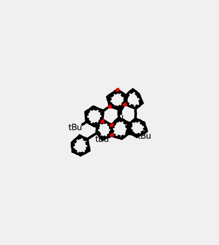 CC(C)(C)c1ccc(-c2ccccc2N(c2ccc(-c3ccccc3)cc2)c2ccccc2-c2cccc3cccc(-c4cc(C(C)(C)C)cc(C(C)(C)C)c4)c23)cc1